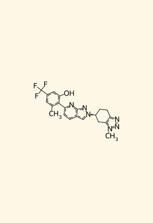 Cc1cc(C(F)(F)F)cc(O)c1-c1ccc2cn([C@H]3CCc4nnn(C)c4C3)nc2n1